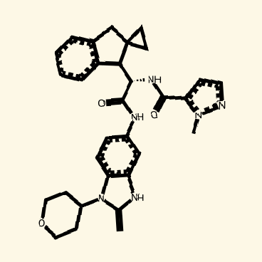 C=C1Nc2cc(NC(=O)[C@@H](NC(=O)c3ccnn3C)C3c4ccccc4CC34CC4)ccc2N1C1CCOCC1